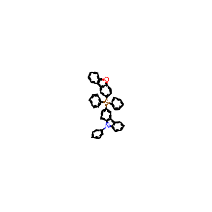 c1ccc(-n2c3ccccc3c3cc(S(c4ccccc4)(c4ccccc4)c4ccc5oc6ccccc6c5c4)ccc32)cc1